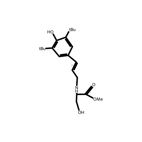 COC(=O)C(CO)NC/C=C/c1cc(C(C)(C)C)c(O)c(C(C)(C)C)c1